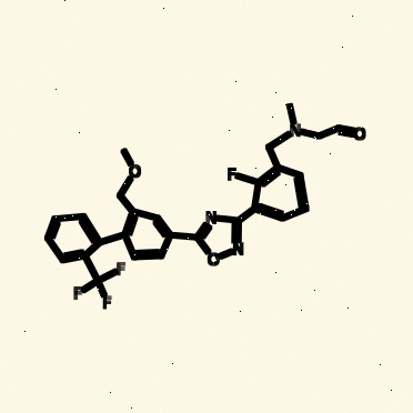 COCc1cc(-c2nc(-c3cccc(CN(C)CC=O)c3F)no2)ccc1-c1ccccc1C(F)(F)F